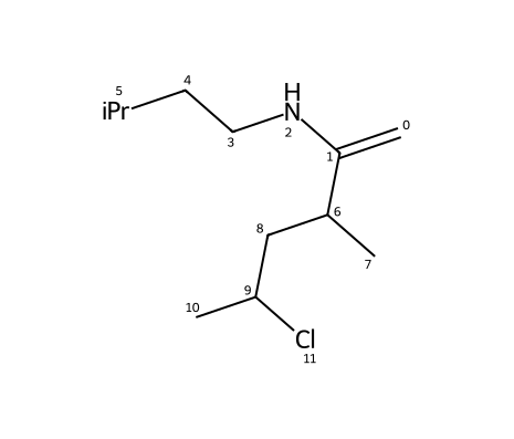 C=C(NCCC(C)C)C(C)CC(C)Cl